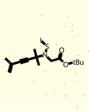 C=C(C)C#CC(C)(C)N(CC(=O)OC(C)(C)C)SI